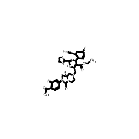 C#Cc1cc(F)ccc1C1N=C(c2nccs2)NC(CN2CCN3C(=O)N(c4ccc(C(=O)O)c(F)c4)C[C@@H]3C2)=C1C(=O)OCC